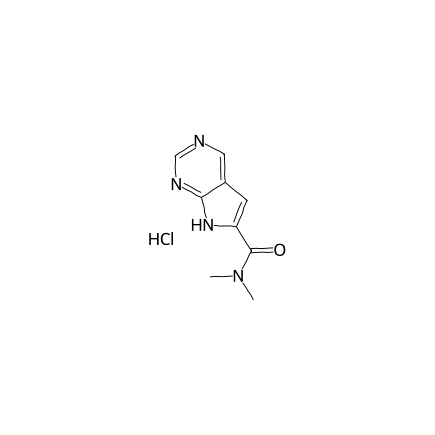 CN(C)C(=O)c1cc2cncnc2[nH]1.Cl